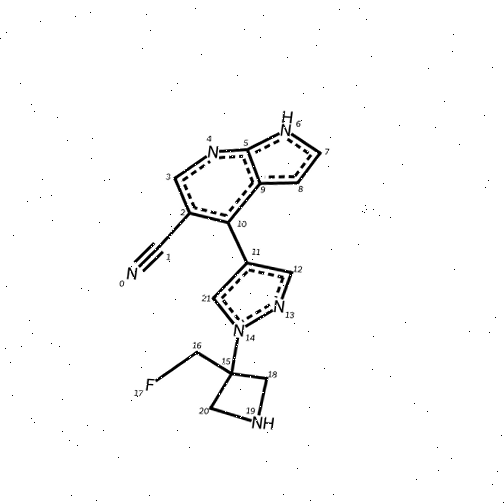 N#Cc1cnc2[nH]ccc2c1-c1cnn(C2(CF)CNC2)c1